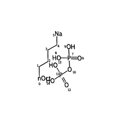 CCCCCCCCCCC[CH2][Na].O=P(O)(O)OP(=O)(O)O